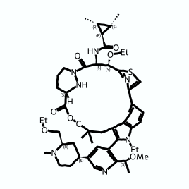 CCOC[C@H]1C[C@@H](c2cnc([C@H](C)OC)c(-c3c4c5cc(ccc5n3CC)-c3csc(n3)[C@@H](OCC)[C@H](NC(=O)[C@H]3[C@H](C)[C@@H]3C)C(=O)N3CCC[C@H](N3)C(=O)OCC(C)(C)C4)c2)CCN1C